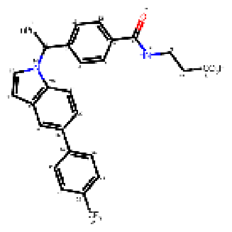 CCCC(c1ccc(C(=O)NCCC(=O)O)cc1)n1ccc2cc(-c3ccc(C(F)(F)F)cc3)ccc21